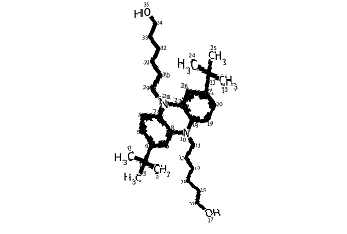 CC(C)(C)c1ccc2c(c1)N(CCCCCCO)c1ccc(C(C)(C)C)cc1N2CCCCCCO